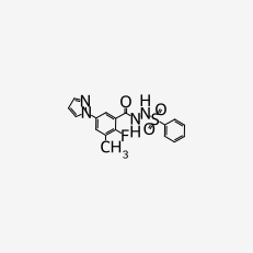 Cc1cc(-n2cccn2)cc(C(=O)NNS(=O)(=O)c2ccccc2)c1F